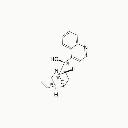 C=C[C@H]1CN2CCC1C[C@H]2[C@@H](O)c1ccnc2ccccc12